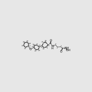 O=C(CCCNC(=O)c1ccc(-c2ccc(Oc3ccccc3)cc2)cc1)NO